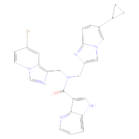 O=C(c1c[nH]c2cccnc12)N(Cc1cn2cc(C3CC3)ccc2n1)Cc1ncn2ccc(Br)cc12